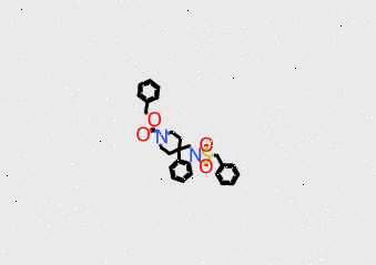 O=C(OCc1ccccc1)N1CCC2(CC1)CN(S(=O)(=O)Cc1ccccc1)c1ccccc12